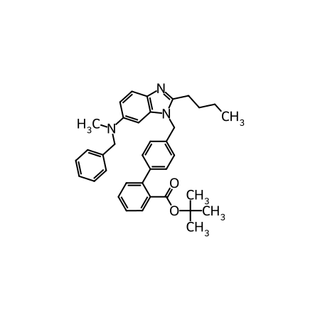 CCCCc1nc2ccc(N(C)Cc3ccccc3)cc2n1Cc1ccc(-c2ccccc2C(=O)OC(C)(C)C)cc1